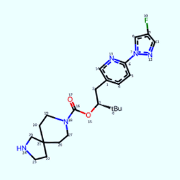 CC(C)(C)[C@H](Cc1ccc(-n2cc(F)cn2)nc1)OC(=O)N1CCC2(CCNC2)CC1